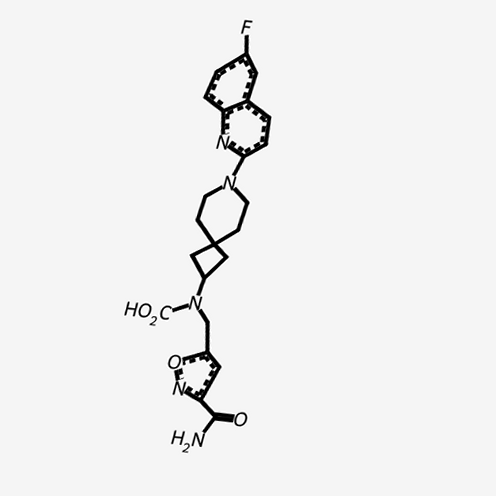 NC(=O)c1cc(CN(C(=O)O)C2CC3(CCN(c4ccc5cc(F)ccc5n4)CC3)C2)on1